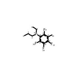 CCCP(CC)c1c(F)c(C)c(F)c(F)c1F